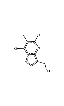 Cc1c(Cl)nc2c(CO)cnn2c1Cl